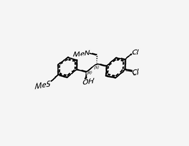 CNC[C@H](c1ccc(Cl)c(Cl)c1)[C@@H](O)c1cccc(SC)c1